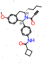 C#CC(=O)N1[C@@H](CCCC)Cc2cc(OC)ccc2[C@@H]1c1ccc(NC(=O)C2CCC2)cc1